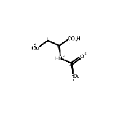 CC(C)(C)CC(NC(=O)C(C)(C)C)C(=O)O